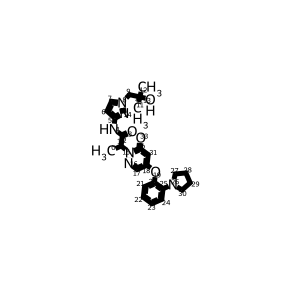 CC(C(=O)Nc1ccn(CC(C)(C)O)n1)n1ncc(Oc2ccccc2N2CCCC2)cc1=O